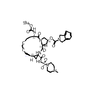 CN1CCN(S(=O)(=O)NC(=O)[C@@]23C[C@H]2/C=C\CCCCC[C@H](NC(=O)OC(C)(C)C)C(=O)N2C[C@H](OC(=O)N4Cc5ccccc5C4)C[C@H]2C(=O)N3)CC1